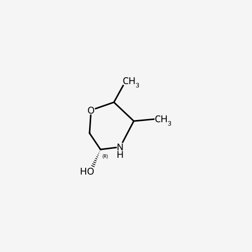 CC1N[C@H](O)COC1C